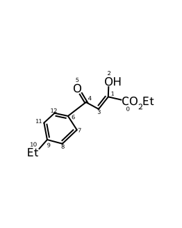 CCOC(=O)/C(O)=C/C(=O)c1ccc(CC)cc1